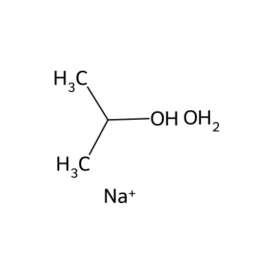 CC(C)O.O.[Na+]